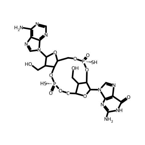 Nc1nc2c(ncn2C2OC3CO[P@](=O)(S)OC4C(CO[P@](=O)(S)OC2C3CO)OC(n2cnc3c(N)ncnc32)C4CO)c(=O)[nH]1